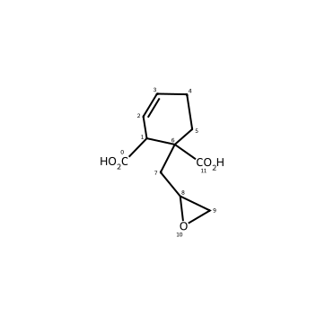 O=C(O)C1C=CCCC1(CC1CO1)C(=O)O